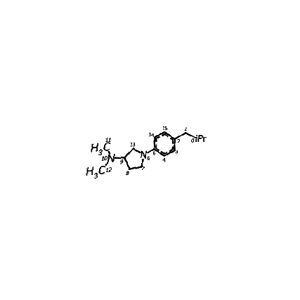 CC(C)Cc1ccc(N2CCC(N(C)C)C2)cc1